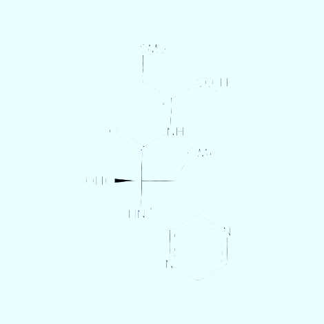 COC[C@](C=O)(Nc1cnccn1)C(=O)NC(CSC)C(=O)O